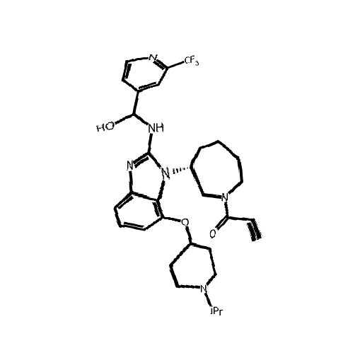 C=CC(=O)N1CCCC[C@@H](n2c(NC(O)c3ccnc(C(F)(F)F)c3)nc3cccc(OC4CCN(C(C)C)CC4)c32)C1